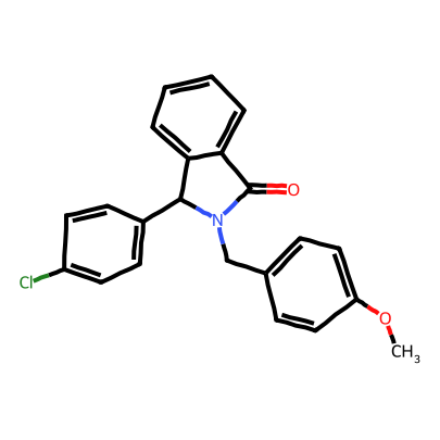 COc1ccc(CN2C(=O)c3ccccc3C2c2ccc(Cl)cc2)cc1